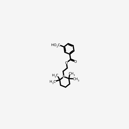 CC1(C)CCCC(C)(C)N1CCOC(=O)c1cccc(C(=O)O)c1